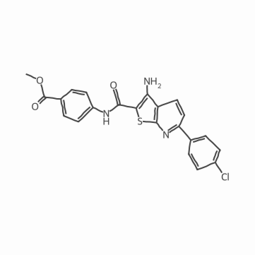 COC(=O)c1ccc(NC(=O)c2sc3nc(-c4ccc(Cl)cc4)ccc3c2N)cc1